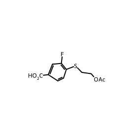 CC(=O)OCCSc1ccc(C(=O)O)cc1F